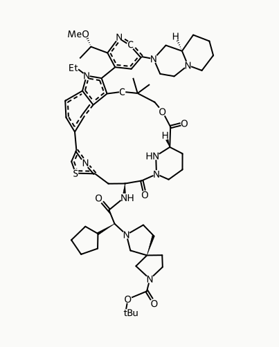 CCn1c(-c2cc(N3CCN4CCCC[C@@H]4C3)cnc2[C@H](C)OC)c2c3cc(ccc31)-c1csc(n1)C[C@H](NC(=O)[C@H](C1CCCC1)N1CC[C@]3(CCN(C(=O)OC(C)(C)C)C3)C1)C(=O)N1CCC[C@H](N1)C(=O)OCC(C)(C)C2